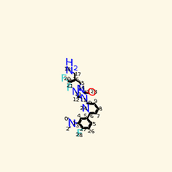 CN(C)c1cc(-c2cccc(-n3cnn(CC(CN)=C(F)F)c3=O)n2)ccc1F